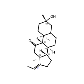 C/C=C1/CC[C@H]2[C@@H]3CCC4C[C@@](C)(O)CC[C@]4(C)[C@H]3C(=O)C[C@]12C